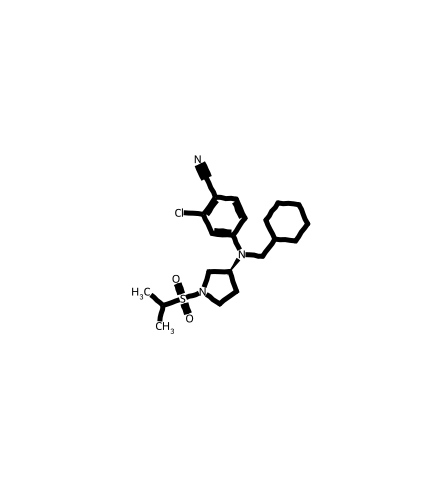 CC(C)S(=O)(=O)N1CC[C@H](N(CC2CCCCC2)c2ccc(C#N)c(Cl)c2)C1